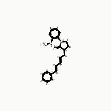 COc1ccccc1N1CCC(C/C=C/C=C/c2ccccc2)C1=O